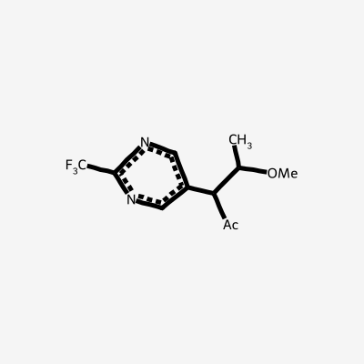 COC(C)C(C(C)=O)c1cnc(C(F)(F)F)nc1